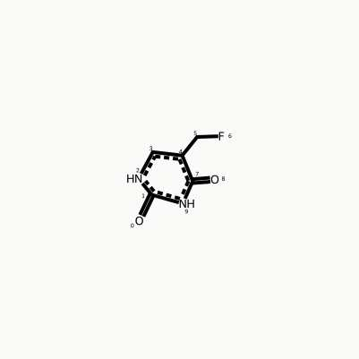 O=c1[nH]cc(CF)c(=O)[nH]1